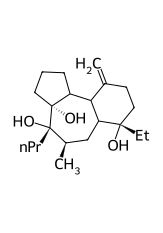 C=C1CC[C@@](O)(CC)C2C[C@@H](C)[C@@](O)(CCC)[C@@]3(O)CCCC3C12